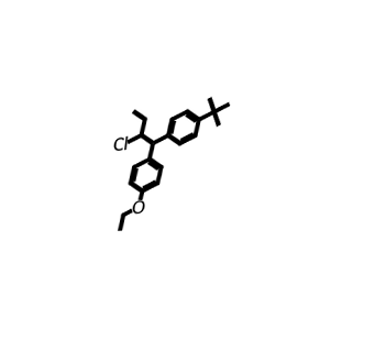 CCOc1ccc(C(c2ccc(C(C)(C)C)cc2)C(Cl)CC)cc1